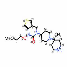 COCCONC(=O)N(Cc1ccsc1)C1CCN(C2(C)CCNCC2)CC1